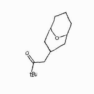 CC(C)(C)C(=O)CC1CC2CCCC(C1)O2